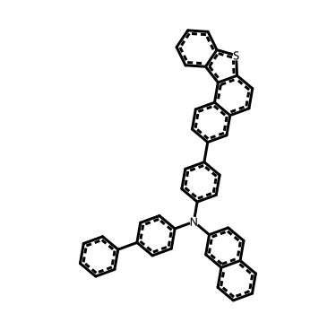 c1ccc(-c2ccc(N(c3ccc(-c4ccc5c(ccc6sc7ccccc7c65)c4)cc3)c3ccc4ccccc4c3)cc2)cc1